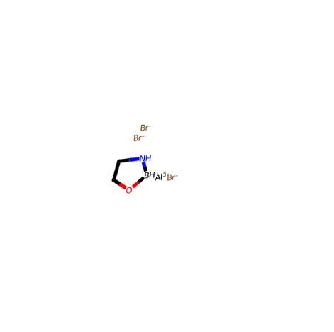 B1NCCO1.[Al+3].[Br-].[Br-].[Br-]